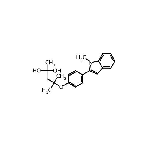 Cn1c(-c2ccc(OC(C)(C)CC(C)(O)O)cc2)cc2ccccc21